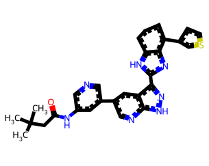 CC(C)(C)CC(=O)Nc1cncc(-c2cnc3[nH]nc(-c4nc5c(-c6ccsc6)cccc5[nH]4)c3c2)c1